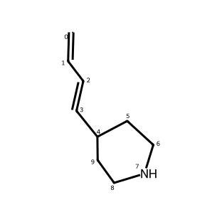 [CH]=CC=CC1CCNCC1